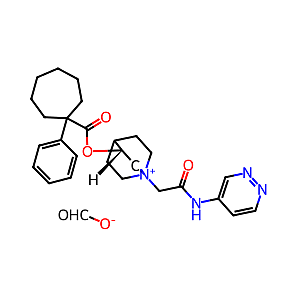 O=C(C[N+]12CCC(CC1)[C@@H](OC(=O)C1(c3ccccc3)CCCCCC1)C2)Nc1ccnnc1.O=C[O-]